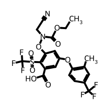 CCOC(=O)N(CC#N)Oc1cc(Oc2ccc(C(F)(F)F)cc2C)cc(C(=O)O)c1S(=O)(=O)C(F)(F)F